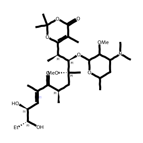 CC[C@@H](O)[C@@H](O)/C=C(\C)C(=O)[C@H](C)C[C@@](C)(OC)[C@H](OC1OC(C)CC(N(C)C)C1OC)[C@@H](C)C1=C(C)C(=O)OC(C)(C)O1